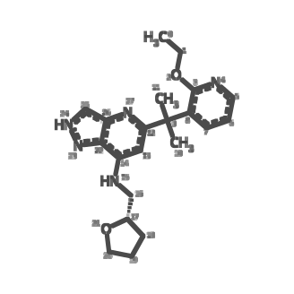 CCOc1ncccc1C(C)(C)c1cc(NC[C@@H]2CCCO2)c2n[nH]cc2n1